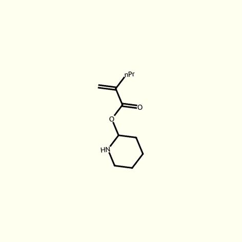 C=C(CCC)C(=O)OC1CCCCN1